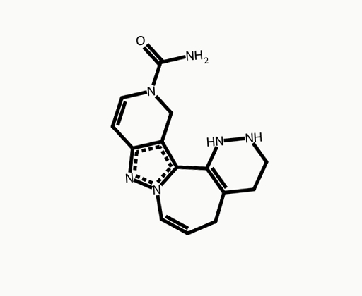 NC(=O)N1C=Cc2nn3c(c2C1)C1=C(CC=C3)CCNN1